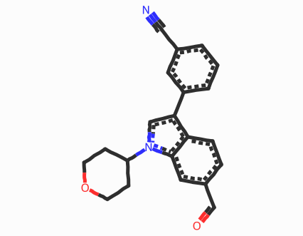 N#Cc1cccc(-c2cn(C3CCOCC3)c3cc(C=O)ccc23)c1